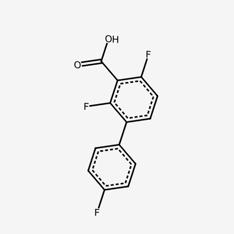 O=C(O)c1c(F)ccc(-c2ccc(F)cc2)c1F